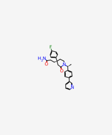 C[C@@H](c1ccc(-c2cccnc2)cc1)N1CC[C@@](CCC(N)=O)(c2ccc(F)cc2)CC1=O